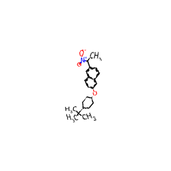 CC(c1ccc2cc(O[C@H]3CC[C@H](C(C)(C)C)CC3)ccc2c1)[N+](=O)[O-]